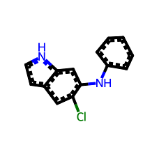 Clc1cc2cc[nH]c2cc1Nc1ccccc1